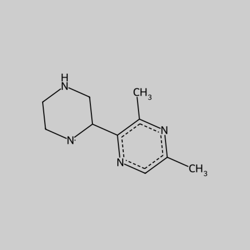 Cc1cnc(C2CNCC[N]2)c(C)n1